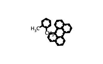 Cc1ccccc1C.c1cc2cccc3c4cccc5cccc(c(c1)c23)c54